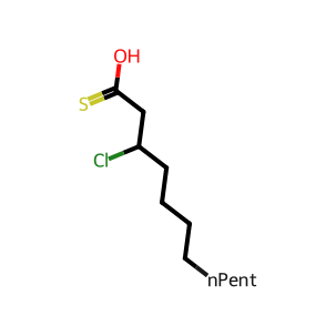 CCCCCCCCCC(Cl)CC(O)=S